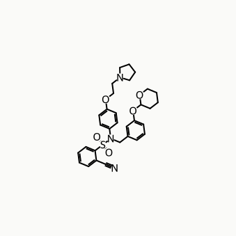 N#Cc1ccccc1S(=O)(=O)N(Cc1cccc(OC2CCCCO2)c1)c1ccc(OCCN2CCCC2)cc1